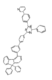 c1ccc(-c2nc(-c3ccc(-c4cccnc4)cc3)nc(-c3ccc(-c4cccc(-c5cccc6c5-c5ccccc5C6(c5ccccc5)c5ccccc5)c4)cc3)n2)cc1